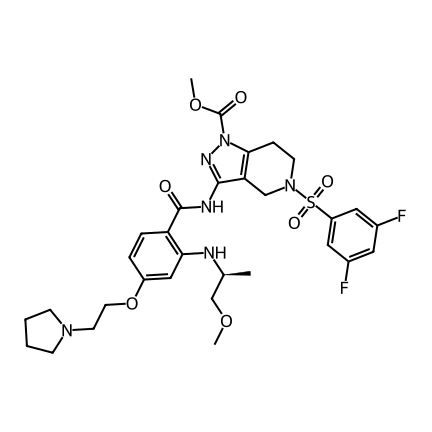 COC[C@H](C)Nc1cc(OCCN2CCCC2)ccc1C(=O)Nc1nn(C(=O)OC)c2c1CN(S(=O)(=O)c1cc(F)cc(F)c1)CC2